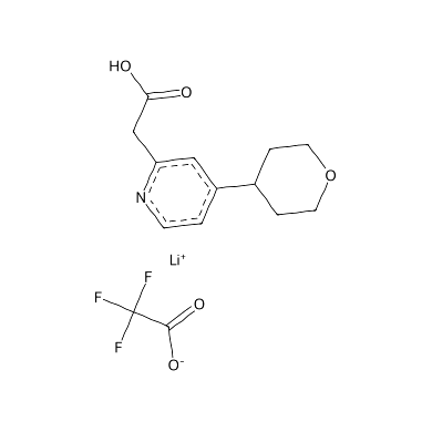 O=C(O)Cc1cc(C2CCOCC2)ccn1.O=C([O-])C(F)(F)F.[Li+]